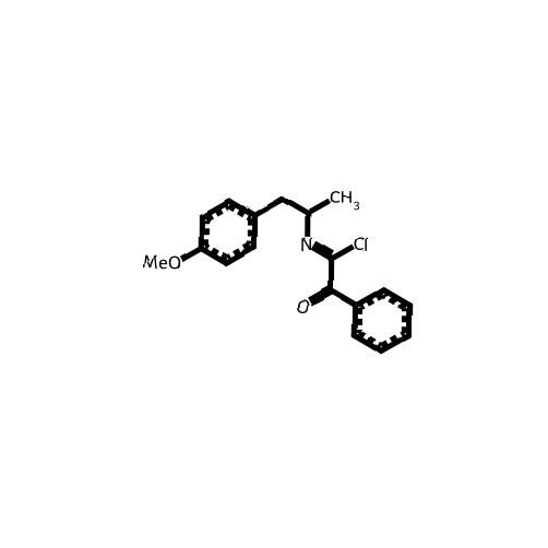 COc1ccc(CC(C)N=C(Cl)C(=O)c2ccccc2)cc1